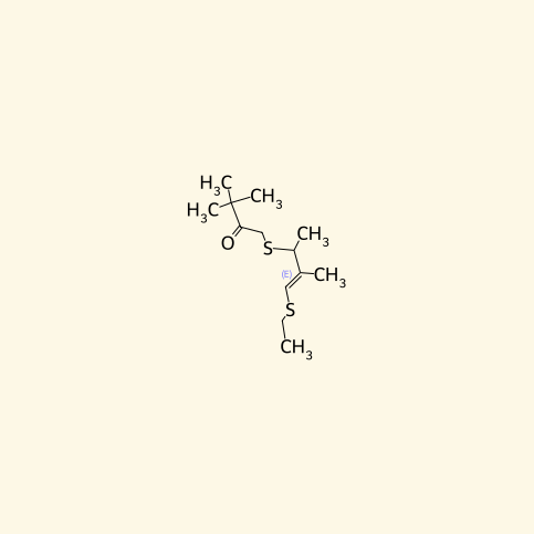 CCS/C=C(\C)C(C)SCC(=O)C(C)(C)C